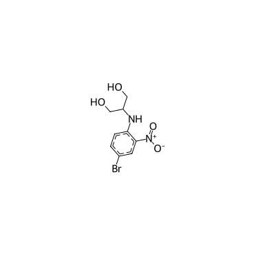 O=[N+]([O-])c1cc(Br)ccc1NC(CO)CO